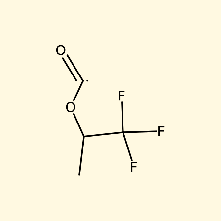 CC(O[C]=O)C(F)(F)F